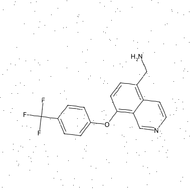 NCc1ccc(Oc2ccc(C(F)(F)F)cc2)c2cnccc12